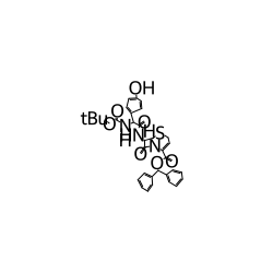 CC(C)(C)OC(=O)NC(C(=O)N[C@@H]1C(=O)N2C(C(=O)OC(c3ccccc3)c3ccccc3)=CCS[C@@H]12)c1ccc(O)cc1